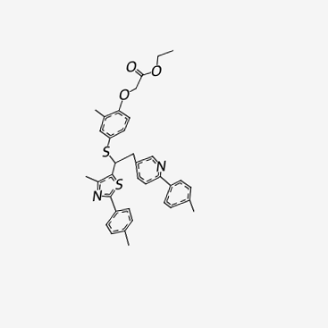 CCOC(=O)COc1ccc(SC(Cc2ccc(-c3ccc(C)cc3)nc2)c2sc(-c3ccc(C)cc3)nc2C)cc1C